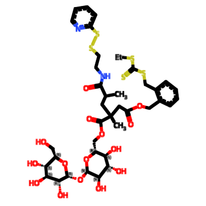 CCSC(=S)SCc1ccccc1COC(=O)CC(C)(CC(C)C(=O)NCCSSc1ccccn1)C(=O)OC[C@H]1O[C@H](O[C@H]2O[C@H](CO)[C@@H](O)[C@H](O)[C@H]2O)[C@H](O)[C@@H](O)[C@@H]1O